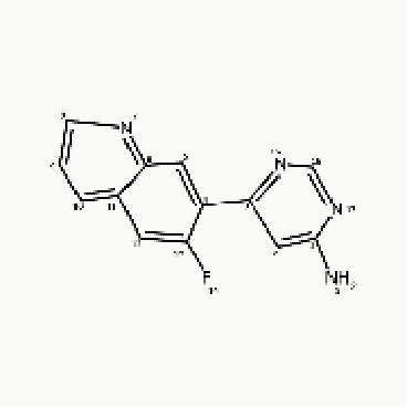 Nc1cc(-c2cc3ncccc3cc2F)ncn1